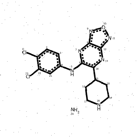 Clc1ccc(Nc2nc3nonc3nc2C2CCNCC2)cc1Cl.N